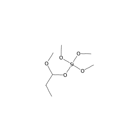 CCC(OC)O[Si](OC)(OC)OC